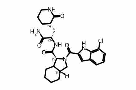 NC(=O)[C@H](C[C@@H]1CCCNC1=O)NC(=O)[C@@H]1C2CCCC[C@H]2CN1C(=O)c1cc2cccc(Cl)c2[nH]1